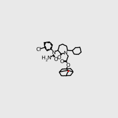 NC(=O)N(c1cccc(Cl)c1)C1CCCC(C2CCCCC2)N(CC(=O)OC23CC4CC(CC(C4)C2)C3)C1=O